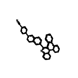 N#Cc1ccc(-c2ccc3cc(-c4nc5ccccc5c5c6ccccc6c6ccccc6c45)ccc3c2)cc1